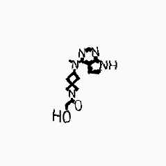 CN(c1ncnc2[nH]ccc12)C1CC2(C1)CN(C(=O)CO)C2